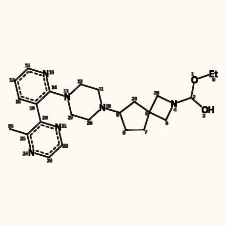 CCOC(O)N1CC2(CCC(N3CCN(c4ncccc4-c4nccnc4C)CC3)C2)C1